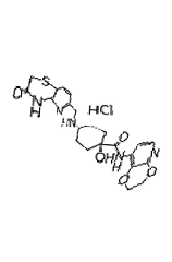 Cl.O=C1CSc2ccc(CN[C@H]3CC[C@@](O)(C(=O)Nc4ccnc5c4OCCO5)CC3)nc2N1